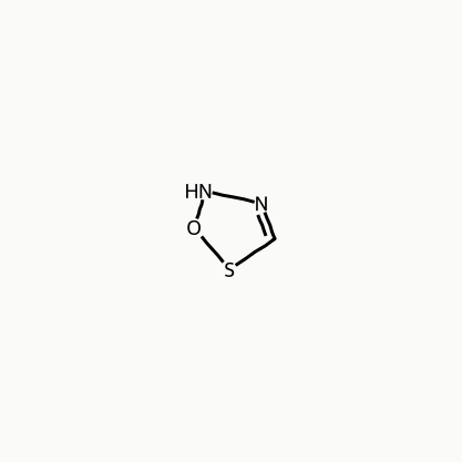 C1=NNOS1